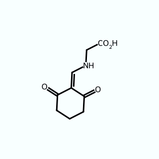 O=C(O)CNC=C1C(=O)CCCC1=O